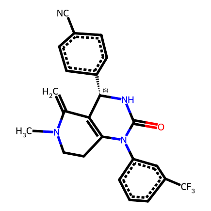 C=C1C2=C(CCN1C)N(c1cccc(C(F)(F)F)c1)C(=O)N[C@H]2c1ccc(C#N)cc1